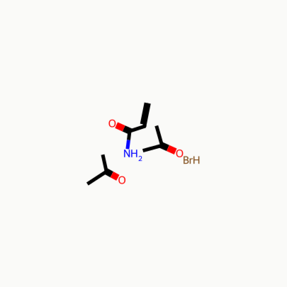 Br.C=CC(N)=O.CC(C)=O.CC(C)=O